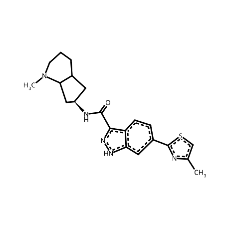 Cc1csc(-c2ccc3c(C(=O)N[C@@H]4CC5CCCN(C)C5C4)n[nH]c3c2)n1